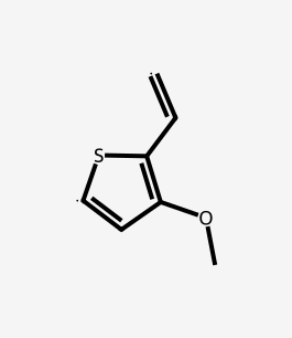 [CH]=Cc1s[c]cc1OC